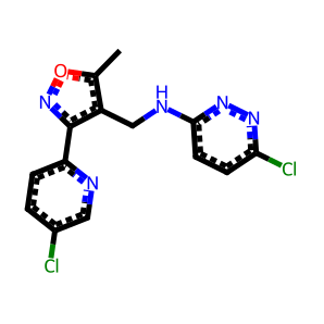 Cc1onc(-c2ccc(Cl)cn2)c1CNc1ccc(Cl)nn1